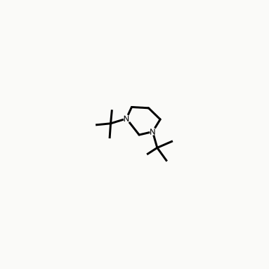 CC(C)(C)N1CCCN(C(C)(C)C)C1